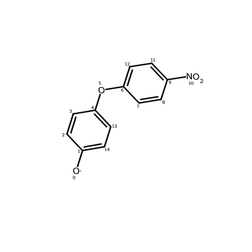 [O]c1ccc(Oc2ccc([N+](=O)[O-])cc2)cc1